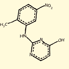 Cc1ccc([N+](=O)[O-])cc1Nc1nccc(O)n1